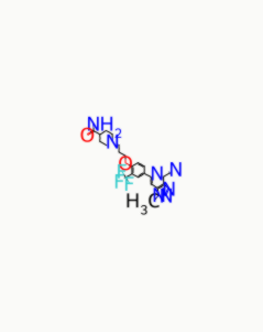 Cn1nnc2c(C#N)nc(-c3ccc(OCCCN4CCC(C(N)=O)CC4)c(C(F)(F)F)c3)cc21